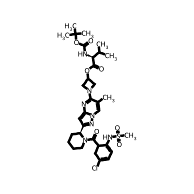 Cc1cn2nc([C@@H]3CCCCN3C(=O)C3CC(Cl)=CC=C3NS(C)(=O)=O)cc2nc1N1CC(OC(=O)[C@@H](NC(=O)OC(C)(C)C)C(C)C)C1